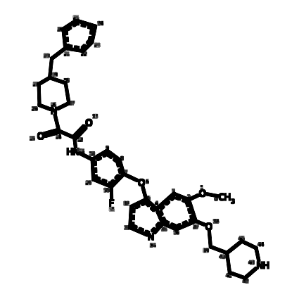 COc1cc2c(Oc3ccc(NC(=O)C(=O)N4CCC(Cc5ccccc5)CC4)cc3F)ccnc2cc1OCC1CCNCC1